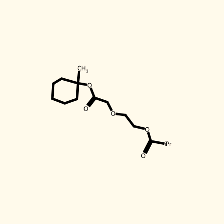 CC(C)C(=O)OCCOCC(=O)OC1(C)CCCCC1